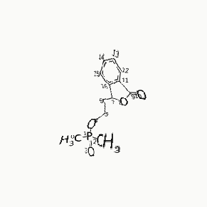 CP(C)(=O)OCCC1OC(=O)c2ccccc21